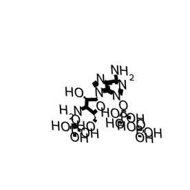 Nc1ncnc2c1ncn2[C@@H]1O[C@H](CO)C(N)[C@H]1O.O=P(O)(O)O.O=P(O)(O)O.O=P(O)(O)O